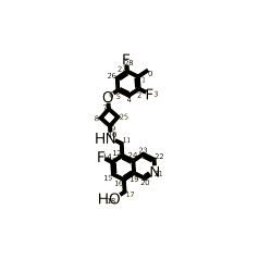 Cc1c(F)cc(OC2CC(NCc3c(F)cc(CO)c4cnccc34)C2)cc1F